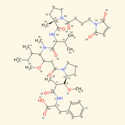 CCC(C)C(C(CC(=O)N1CCC[C@H]1C(OC)C(C)C(=O)NC(Cc1ccccc1)C(=O)O)OC)N(C)C(=O)C(NC(=O)[C@]1(C)CCCN1C(=O)CCCN1C(=O)C=CC1=O)C(C)C